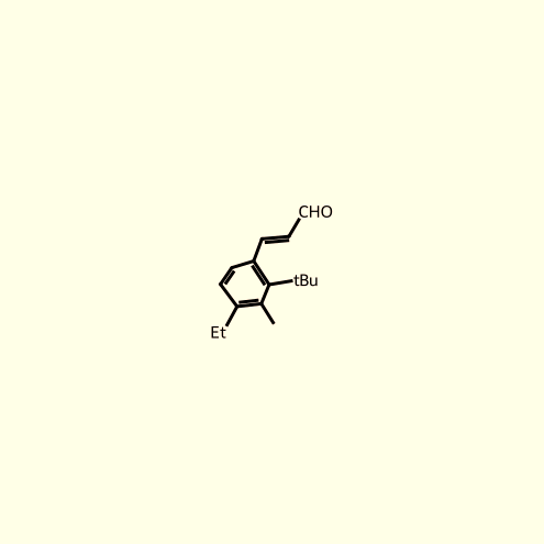 CCc1ccc(C=CC=O)c(C(C)(C)C)c1C